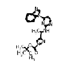 CC(Nc1nccc(-n2cnc3ccccc32)n1)c1cn(C(=O)OC(C)(C)C)cn1